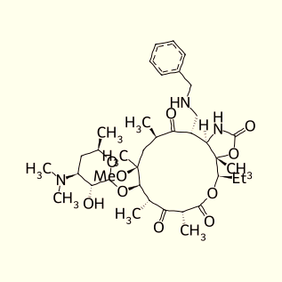 CC[C@H]1OC(=O)[C@H](C)C(=O)[C@H](C)[C@@H](OC2O[C@H](C)C[C@H](N(C)C)[C@H]2O)[C@@](C)(OC)C[C@@H](C)C(=O)[C@H](CNCc2ccccc2)[C@H]2NC(=O)O[C@@]21C